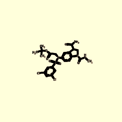 CNC(=O)N1CC(C(N)=O)c2cc(N(CC(=O)OC(C)(C)C)S(=O)(=O)c3cc(Cl)cc(Cl)c3)ccc21